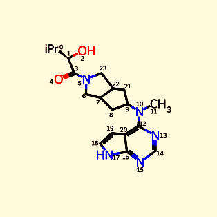 CC(C)[C@@H](O)C(=O)N1CC2CC(N(C)c3ncnc4[nH]ccc34)CC2C1